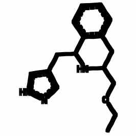 CCOCC1Cc2ccccc2C(Cc2cn[nH]c2)N1